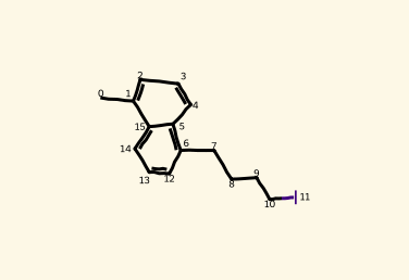 Cc1cccc2c(CCCCI)cccc12